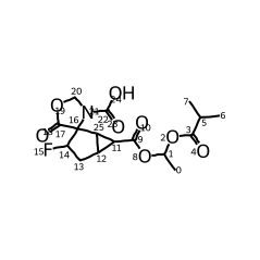 CC(OC(=O)C(C)C)OC(=O)C1C2CC(F)C3(C(=O)OCN3C(=O)O)C21